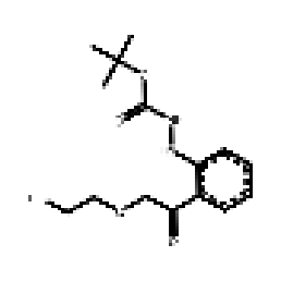 CC(C)(C)OC(=O)NNc1ccccc1C(=O)COCCO